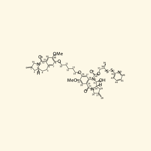 C=C1C[C@H]2CCc3cc(OCCCCCOc4cc5c(cc4OC)C(=O)N4CC(=C)C[C@H]4[C@H](O)N5C(=O)OC[C@@H](C)SSc4ccccn4)c(OC)cc3C(=O)N2C1